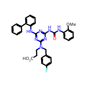 COc1ccccc1NC(=O)Nc1nc(Nc2ccccc2-c2ccccc2)nc(N(CCC(=O)O)Cc2ccc(F)cc2)n1